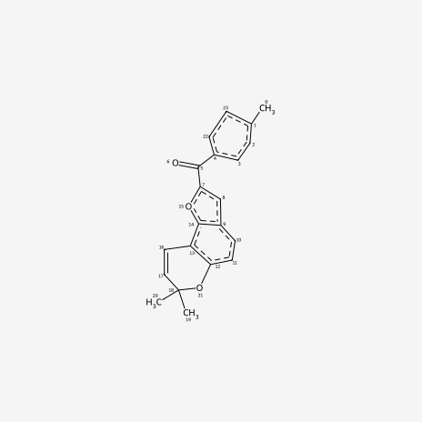 Cc1ccc(C(=O)c2cc3ccc4c(c3o2)C=CC(C)(C)O4)cc1